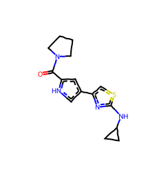 O=C(c1cc(-c2csc(NC3CC3)n2)c[nH]1)N1CCCC1